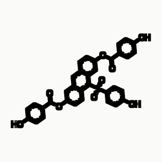 O=C(Oc1ccc2c(S(=O)(=O)c3ccc(O)cc3)c3cc(OC(=O)c4ccc(O)cc4)ccc3cc2c1)c1ccc(O)cc1